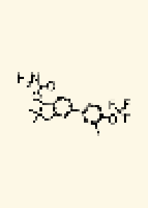 Cc1cc(-c2ccc3c(c2)CC(C)(C)C3OC(N)=O)ccc1OC(F)(F)F